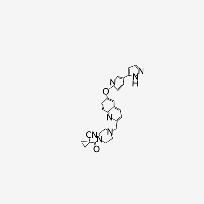 N#CC1(C(=O)N2CCN(Cc3ccc4cc(Oc5ccc(-c6ccn[nH]6)cn5)ccc4n3)CC2)CC1